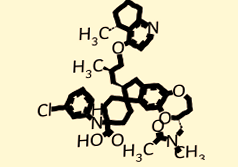 CC(=O)N(C)C[C@H]1CCOc2cc3c(cc2O1)C1(CCC(Nc2cccc(Cl)c2)(C(=O)O)CC1)[C@@H](C[C@@H](C)COc1ccnc2c1[C@H](C)CCC2)C3